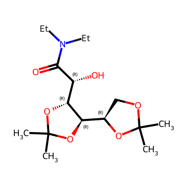 CCN(CC)C(=O)[C@H](O)[C@H]1OC(C)(C)O[C@@H]1[C@H]1COC(C)(C)O1